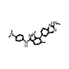 CNc1ncc2cc(-c3c(C)ccc4c(Nc5ccc(N(C)C)cc5)nn(C)c34)ccc2n1